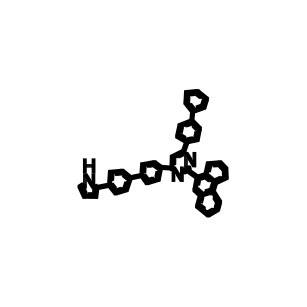 c1ccc(-c2ccc(-c3cc(-c4ccc(-c5ccc(-c6ccc[nH]6)cc5)cc4)nc(-c4cc5ccccc5c5ccccc45)n3)cc2)cc1